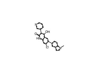 Cn1ccc2cc(-c3cc4c(O)c(-c5cccnc5)c(=O)[nH]c4cc3Cl)ccc21